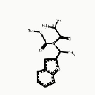 CC(C)[C@H](N)C(=O)N(C(=O)OC(C)(C)C)C(C)c1cc2ccccc2s1